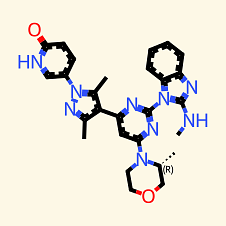 CNc1nc2ccccc2n1-c1nc(-c2c(C)nn(-c3ccc(=O)[nH]c3)c2C)cc(N2CCOC[C@H]2C)n1